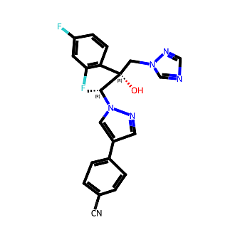 C[C@@H](n1cc(-c2ccc(C#N)cc2)cn1)[C@](O)(Cn1cncn1)c1ccc(F)cc1F